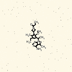 CCC(=O)N1CC(c2c(C)c(CC)cc(C(C)n3nc(C)c4c(N)ncnc43)c2OC)C1